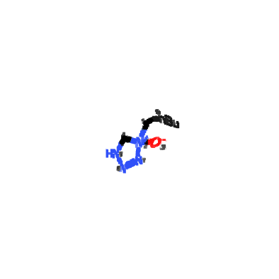 CCCCC[N+]1([O-])CNN=N1